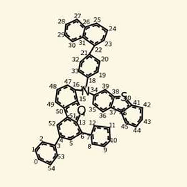 c1ccc(-c2cc(-c3ccccc3)c3oc4c(N(c5ccc(-c6cccc7ccccc67)cc5)c5ccc6c(c5)sc5ccccc56)cccc4c3c2)cc1